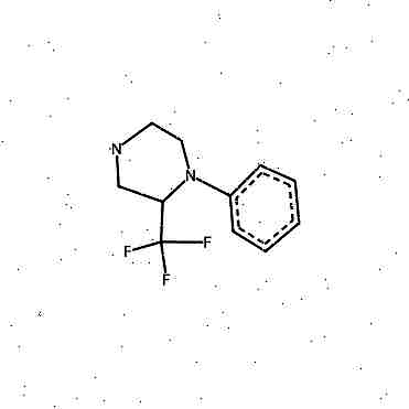 FC(F)(F)C1C[N]CCN1c1ccccc1